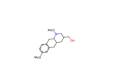 COc1ccc2c(c1)CC1CC(CO)CN(OC)C1C2